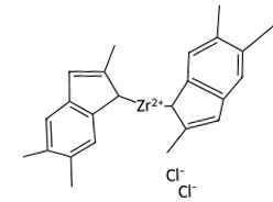 CC1=Cc2cc(C)c(C)cc2[CH]1[Zr+2][CH]1C(C)=Cc2cc(C)c(C)cc21.[Cl-].[Cl-]